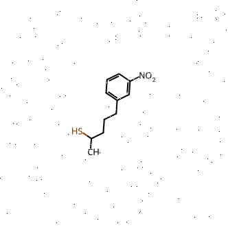 [CH]C(S)CCCc1cccc([N+](=O)[O-])c1